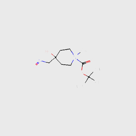 CC(C)(C)OC(=O)[N+]1(C)CCC(O)(CN=O)CC1